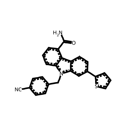 N#Cc1ccc(Cn2c3cc(-c4cccs4)c[c]c3c3c(C(N)=O)cccc32)cc1